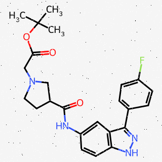 CC(C)(C)OC(=O)CN1CCC(C(=O)Nc2ccc3[nH]nc(-c4ccc(F)cc4)c3c2)C1